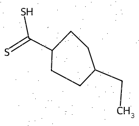 CCC1CCC(C(=S)S)CC1